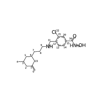 C=C1CC(C)CC(CCCNCc2ccc(C(=O)NO)cc2Cl)C1